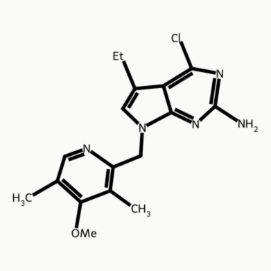 CCc1cn(Cc2ncc(C)c(OC)c2C)c2nc(N)nc(Cl)c12